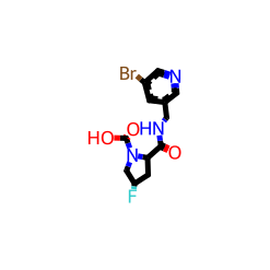 O=C(NCc1cncc(Br)c1)C1CC(F)CN1C(=O)O